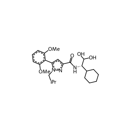 COc1cccc(OC)c1-c1cc(C(=O)N[C@H](C(O)O)C2CCCCC2)nn1CC(C)C